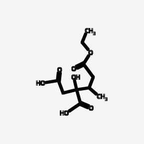 CCOC(=O)CC(C)C(O)(CC(=O)O)C(=O)O